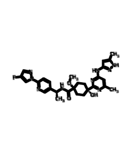 CO[C@]1(C(=O)N[C@@H](C)c2ccc(-n3cc(F)cn3)nc2)CC[C@](O)(c2nc(C)cc(Nc3cc(C)[nH]n3)n2)CC1